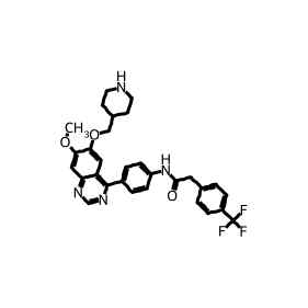 COc1cc2ncnc(-c3ccc(NC(=O)Cc4ccc(C(F)(F)F)cc4)cc3)c2cc1OCC1CCNCC1